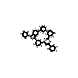 c1ccc(-c2ccc3c(c2)c(-c2cccc(-c4cc(-c5ccccc5)nc(-c5ccccc5)n4)c2)nn3-c2ccccc2)cc1